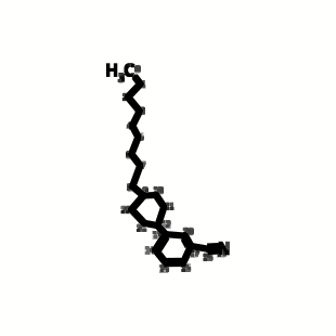 CCCCCCCCCC1CCC(c2cccc(C#N)c2)CC1